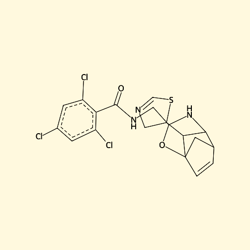 O=C(NCC1NC2C3C=CC(C3)(O1)C2C1CN=CS1)c1c(Cl)cc(Cl)cc1Cl